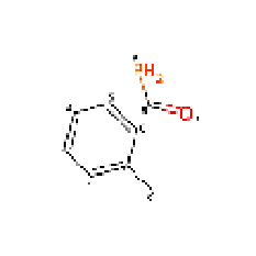 Cc1ccccc1.O=CP